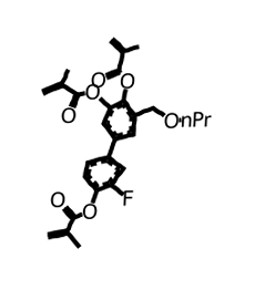 C=C(C)C(=O)Oc1ccc(-c2cc(COCCC)c(OC(=O)C(=C)C)c(OC(=O)C(=C)C)c2)cc1F